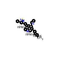 CCCCCCC1(CCCCCC)c2cc(C)ccc2-c2ccc(-c3cc(/C=C/c4ccc5ccccc5n4)c(-c4ccc5c(c4)C(CCCCCC)(CCCCCC)c4cc(-c6ccc(-c7ccccc7)c7nsnc67)ccc4-5)cc3/C=C\c3ccc4ccccc4n3)cc21